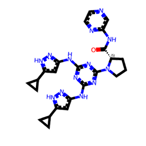 O=C(Nc1cnccn1)[C@@H]1CCCN1c1nc(Nc2cc(C3CC3)[nH]n2)nc(Nc2cc(C3CC3)[nH]n2)n1